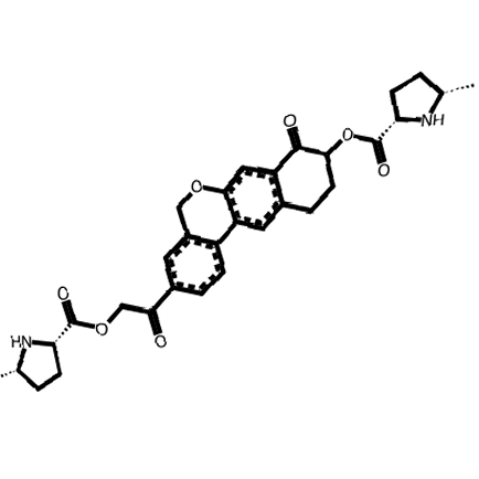 C[C@H]1CC[C@@H](C(=O)OCC(=O)c2ccc3c(c2)COc2cc4c(cc2-3)CCC(OC(=O)[C@@H]2CC[C@H](C)N2)C4=O)N1